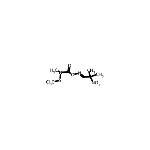 CN(SC(Cl)(Cl)Cl)C(=O)O/N=C/C(C)(C)[N+](=O)[O-]